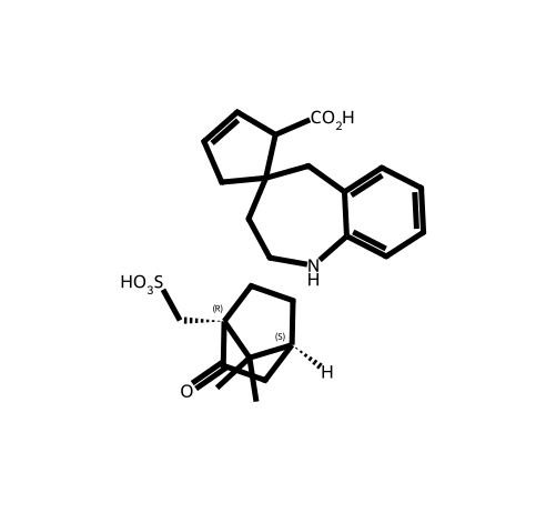 CC1(C)[C@H]2CC[C@]1(CS(=O)(=O)O)C(=O)C2.O=C(O)C1C=CCC12CCNc1ccccc1C2